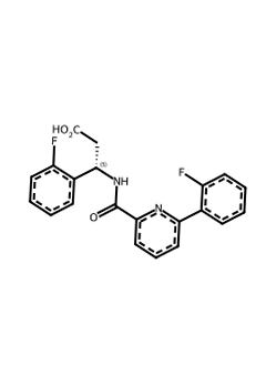 O=C(O)C[C@H](NC(=O)c1cccc(-c2ccccc2F)n1)c1ccccc1F